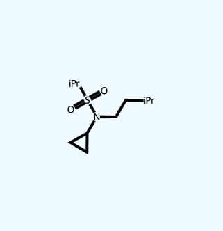 CC(C)CCN(C1CC1)S(=O)(=O)C(C)C